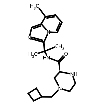 Cc1cccn2c(C(C)(C)NC(=O)[C@@H]3CN(CC4CCC4)CCN3)ncc12